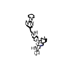 O=C1NC(=O)/C(=C\c2ccnc(N3CCC(CNCc4cnc(N5CCCCC5)nc4)CC3)n2)S1